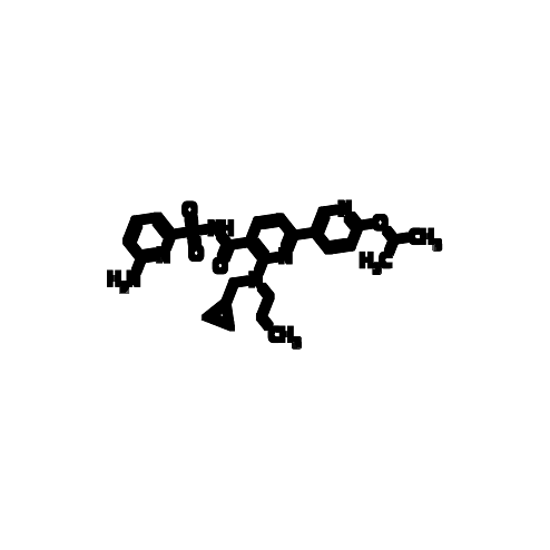 CCCN(CC1CC1)c1nc(-c2ccc(OC(C)C)nc2)ccc1C(=O)NS(=O)(=O)c1cccc(N)n1